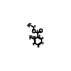 O=C(OCF)c1ccccc1F